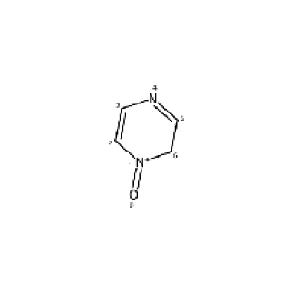 O=[N+]1C=CN=CC1